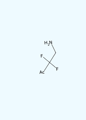 CC(=O)C(F)(F)CN